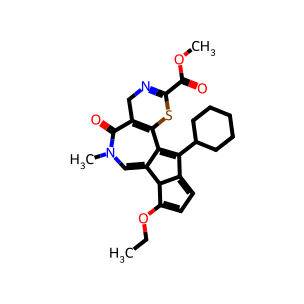 CCOC1=CC=C2C(C3CCCCC3)=C3C(=CN(C)C(=O)C4=C3SC(C(=O)OC)=NC4)C12